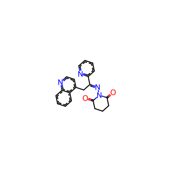 O=C1CCCC(=O)N1/N=C(\Cc1ccnc2ccccc12)c1ccccn1